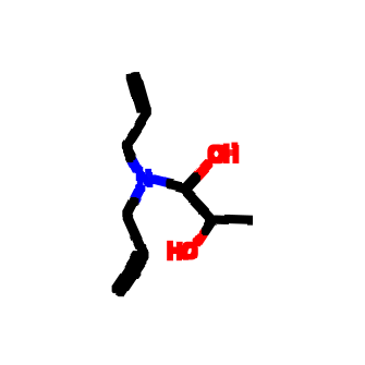 C=CCN(CC=C)C(O)C(C)O